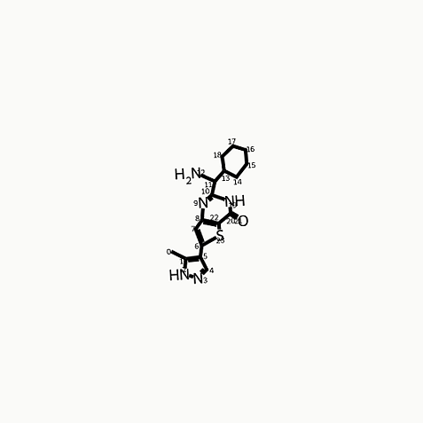 Cc1[nH]ncc1-c1cc2nc(C(N)C3CCCCC3)[nH]c(=O)c2s1